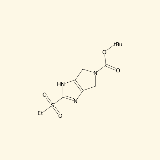 CCS(=O)(=O)c1nc2c([nH]1)CN(C(=O)OC(C)(C)C)C2